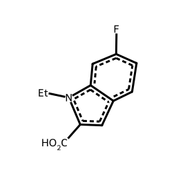 CCn1c(C(=O)O)cc2ccc(F)cc21